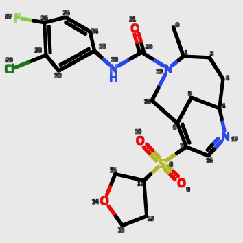 CC1CCC2CC(=C(S(=O)(=O)C3CCOC3)C=N2)CN1C(=O)Nc1ccc(F)c(Cl)c1